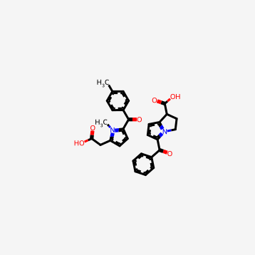 Cc1ccc(C(=O)c2ccc(CC(=O)O)n2C)cc1.O=C(c1ccccc1)c1ccc2n1CCC2C(=O)O